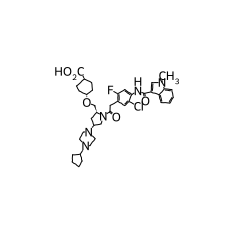 Cn1cc(C(=O)Nc2cc(F)c(CC(=O)N3C[C@@H](N4CCN(C5CCCC5)CC4)C[C@H]3CO[C@H]3CC[C@H](C(=O)O)CC3)cc2Cl)c2ccccc21